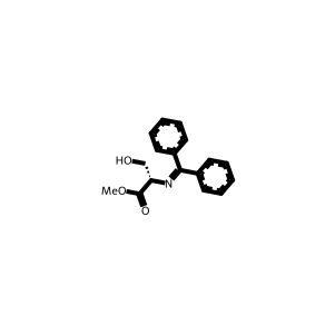 COC(=O)[C@H](CO)N=C(c1ccccc1)c1ccccc1